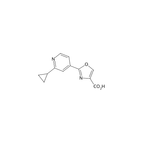 O=C(O)c1coc(-c2ccnc(C3CC3)c2)n1